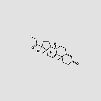 C[C@]12CCC(=O)C=C1CC[C@@H]1C2=CC[C@@]2(C)[C@H]1CC[C@]2(O)C(=O)CI